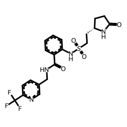 O=C1CC[C@@H](CCS(=O)(=O)Nc2ccccc2C(=O)NCc2ccc(C(F)(F)F)nc2)N1